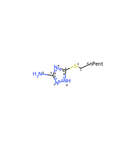 CCCCCCSc1nc(N)n[nH]1